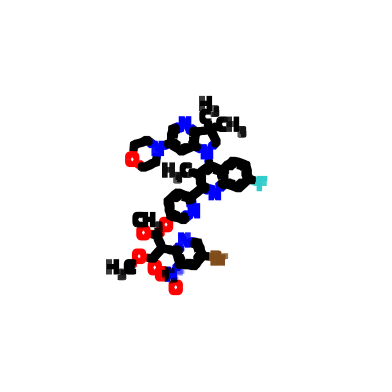 COC(=O)C(C(=O)OC)c1ncc(Br)cc1[N+](=O)[O-].Cc1c(-c2ccccn2)nc2cc(F)ccc2c1N1CC(C)(C)c2ncc(N3CCOCC3)cc21